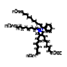 CCCCCCCCCCCCCCCCCCC(c1ccccc1)[N+](CCCCCCCCCCCCCCCCCC)(CCCCCCCCCCCCCCCCCC)CCCCCCCCCCCCCCCCCC